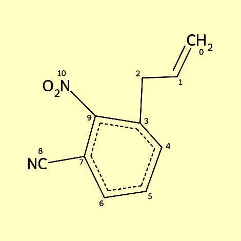 C=CCc1cccc(C#N)c1[N+](=O)[O-]